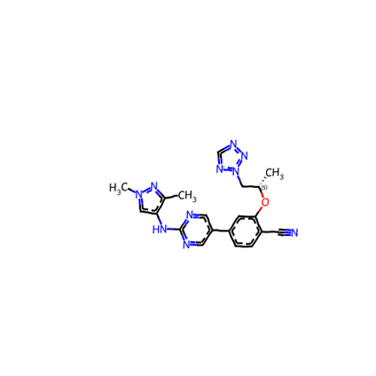 Cc1nn(C)cc1Nc1ncc(-c2ccc(C#N)c(O[C@@H](C)Cn3ncnn3)c2)cn1